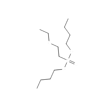 CCCCOP(=O)(CCOCC)OCCCC